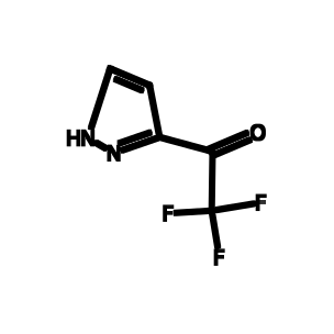 O=C(c1cc[nH]n1)C(F)(F)F